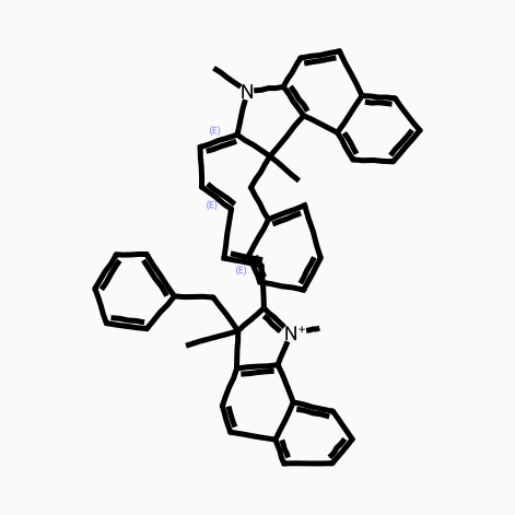 CN1/C(=C/C=C/C=C/C2=[N+](C)c3c(ccc4ccccc34)C2(C)Cc2ccccc2)C(C)(Cc2ccccc2)c2c1ccc1ccccc21